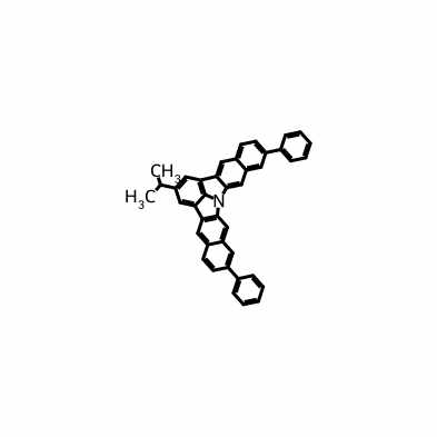 CC(C)c1cc2c3cc4ccc(-c5ccccc5)cc4cc3n3c4cc5cc(-c6ccccc6)ccc5cc4c(c1)c23